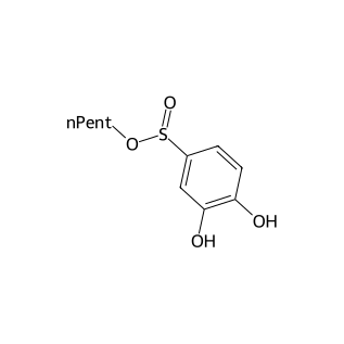 CCCCCOS(=O)c1ccc(O)c(O)c1